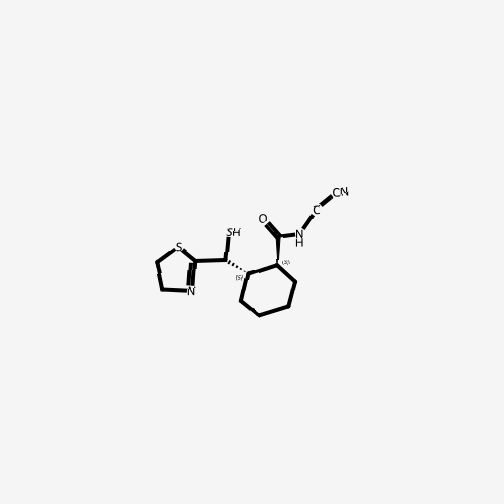 N#CCNC(=O)[C@H]1CCCC[C@@H]1C(S)C1=NCCS1